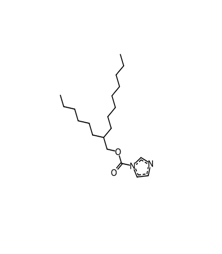 CCCCCCCCC(CCCCCC)COC(=O)n1ccnc1